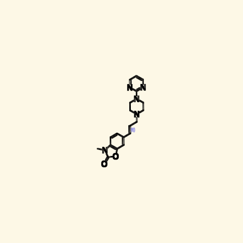 Cn1c(=O)oc2cc(/C=C/CN3CCN(c4ncccn4)CC3)ccc21